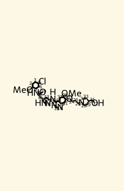 COc1ccc(Cl)cc1NC(=O)Cc1cc(Nc2ncnc3cc(OCCCN4CCC(CO)CC4)c(OC)cc23)n[nH]1